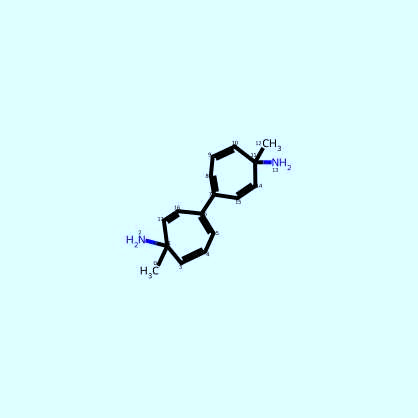 CC1(N)C=CC=C(C2=CC=CC(C)(N)C=C2)C=C1